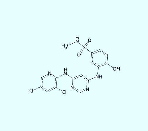 CNS(=O)(=O)c1ccc(O)c(Nc2cc(Nc3ncc(Cl)cc3Cl)ncn2)c1